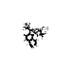 O=C(O)C(F)(F)F.O=C(O)c1[nH]nc2c1ccc1cnccc12